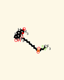 C[C@]12CCC(=O)C[C@@H]1CC[C@@H]1[C@@H]2[C@@H](OCCCCCCCCCCCCCS(=O)(=O)CCCC(F)(F)C(F)(F)F)C[C@]2(C)[C@@H](O)CC[C@@H]12